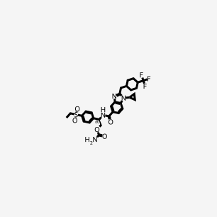 CCS(=O)(=O)c1ccc([C@H](COC(N)=O)NC(=O)c2ccc3c(c2)nc(CC2CCC(C(F)(F)F)CC2)n3C2CC2)cc1